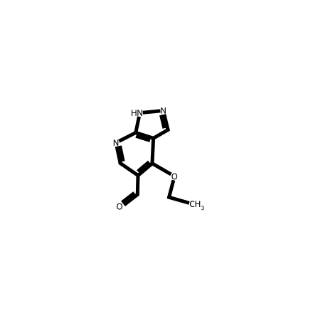 CCOc1c(C=O)cnc2[nH]ncc12